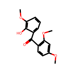 COc1ccc(C(=O)c2cccc(OC)c2O)c(OC)c1